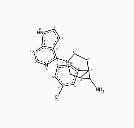 NC1C2CN(c3ncnc4[nH]ccc34)CCC12c1cccc(Cl)c1